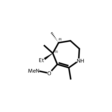 CC[C@]1(C)C(ONC)=C(C)NCC[C@H]1C